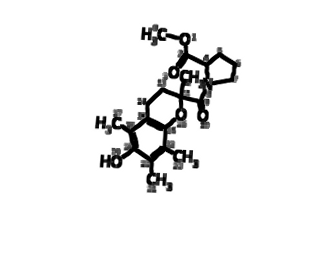 COC(=O)C1CCCN1C(=O)C1(C)CCc2c(C)c(O)c(C)c(C)c2O1